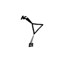 CC[C@H]1C[C@@H]1C(C)=O